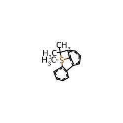 CC1(C)c2cccc3c2[S@@]1(C)c1ccccc1-3